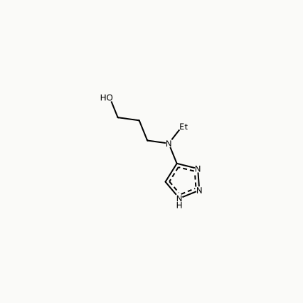 CCN(CCCO)c1c[nH]nn1